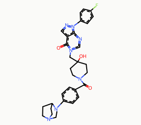 O=C(c1ccc(N2CCN3CCC2CC3)cc1)N1CCC(O)(Cn2cnc3c(cnn3-c3ccc(F)cc3)c2=O)CC1